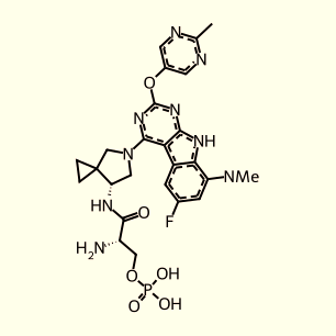 CNc1cc(F)cc2c1[nH]c1nc(Oc3cnc(C)nc3)nc(N3C[C@H](NC(=O)[C@@H](N)COP(=O)(O)O)C4(CC4)C3)c12